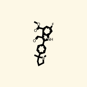 COC(=O)c1cc(F)cc2[nH]c(-c3ccc(C4(C)CCCN4C)cc3)c(C=O)c12